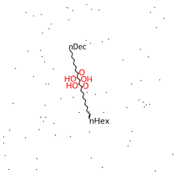 CCCCCCC=CCCCCCCCC(=O)C(O)C(O)C(O)C(=O)CCCCCCCCCCCCCCCCC